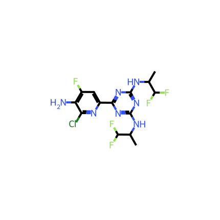 CC(Nc1nc(NC(C)C(F)F)nc(-c2cc(F)c(N)c(Cl)n2)n1)C(F)F